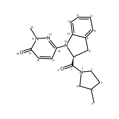 CC1CCN(C(=O)[C@@H]2Cc3ccccc3N2c2ccc(=O)n(C)n2)C1